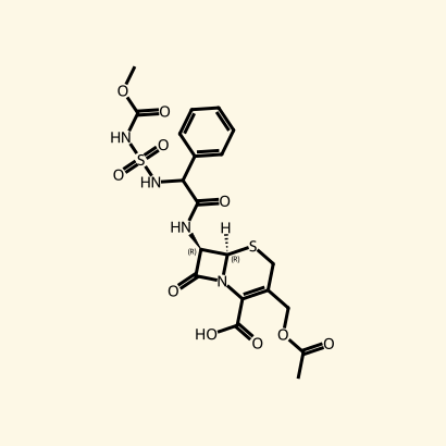 COC(=O)NS(=O)(=O)NC(C(=O)N[C@@H]1C(=O)N2C(C(=O)O)=C(COC(C)=O)CS[C@H]12)c1ccccc1